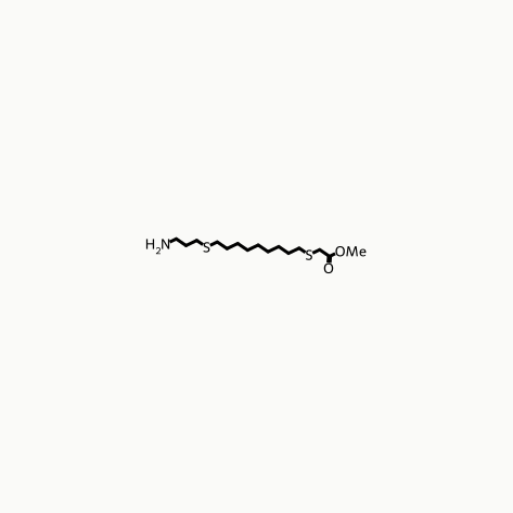 COC(=O)CSCCCCCCCCCSCCCN